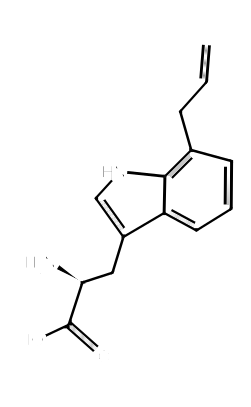 C=CCc1cccc2c(C[C@H](N)C(=O)O)c[nH]c12